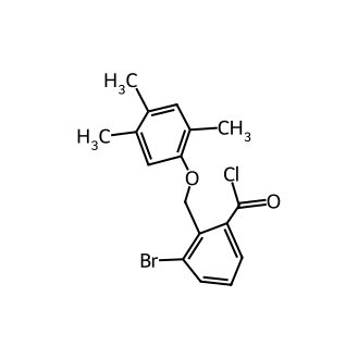 Cc1cc(C)c(OCc2c(Br)cccc2C(=O)Cl)cc1C